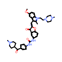 COc1ccc2c(c1)c(/C=C1\Oc3ccc(NC(=O)Nc4ccc(C(=O)C5CCN(C)CC5)cc4)cc3C1=O)c(C)n2CCN1CCN(C)CC1